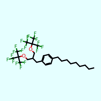 CCCCCCCCCc1ccc(CC(COC(C(F)(F)F)(C(F)(F)F)C(F)(F)F)COC(C(F)(F)F)(C(F)(F)F)C(F)(F)F)cc1